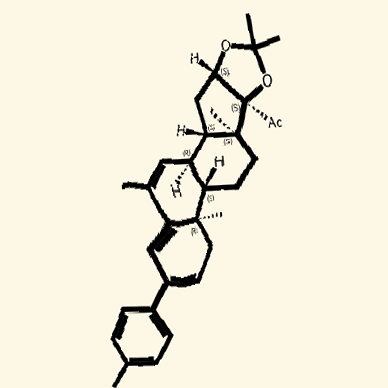 CC(=O)[C@@]12OC(C)(C)O[C@H]1C[C@H]1[C@@H]3C=C(C)C4=CC(c5ccc(C)cc5)=CC[C@]4(C)[C@H]3CC[C@@]12C